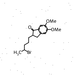 COc1cc2c(cc1OC)C(=O)C(CCCC(C)Br)C2